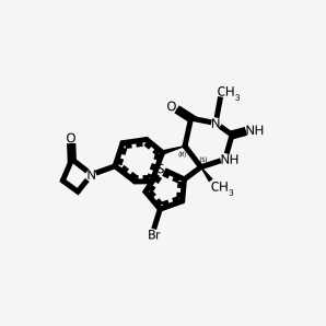 CN1C(=N)N[C@](C)(c2cc(Br)cs2)[C@@H](c2ccc(N3CCC3=O)cc2)C1=O